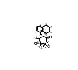 ClC1[Si](=C2N=CC=N2)[Si](Cl)(C2CCCCC2)OC(Cl)(Cl)C1(Cl)Cl